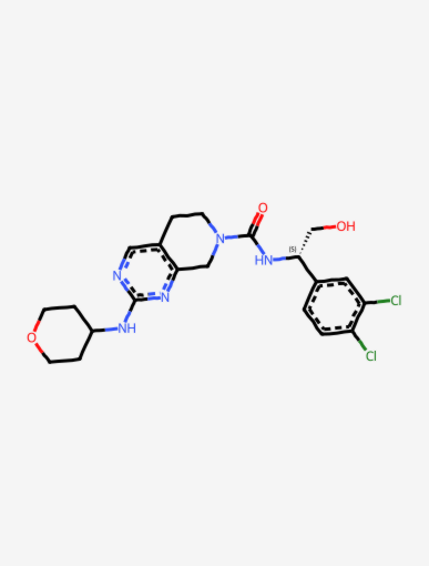 O=C(N[C@H](CO)c1ccc(Cl)c(Cl)c1)N1CCc2cnc(NC3CCOCC3)nc2C1